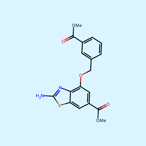 COC(=O)c1cccc(COc2cc(C(=O)OC)cc3sc(N)nc23)c1